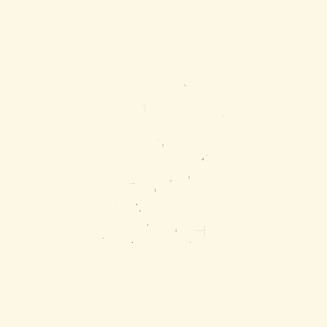 O=C(O)C12CC3CC(C1)CC(C(=O)Oc1c(I)cc(I)cc1I)(C3)C2